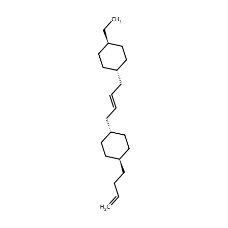 C=CCC[C@H]1CC[C@H](CC=CC[C@H]2CC[C@H](CC)CC2)CC1